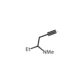 [C]#CCC(CC)NC